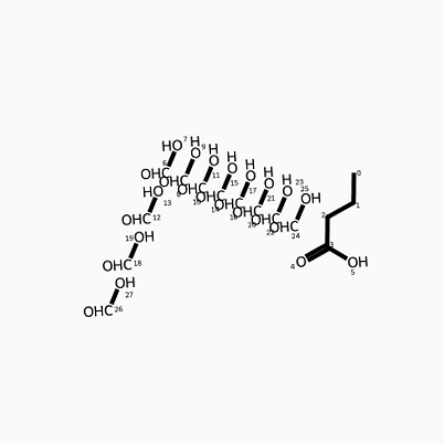 CCCC(=O)O.O=CO.O=CO.O=CO.O=CO.O=CO.O=CO.O=CO.O=CO.O=CO.O=CO.O=CO